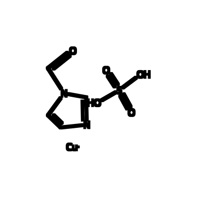 O=Cn1ccnc1.O=S(=O)(O)O.[Cu]